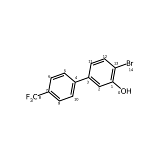 Oc1cc(-c2ccc(C(F)(F)F)cc2)ccc1Br